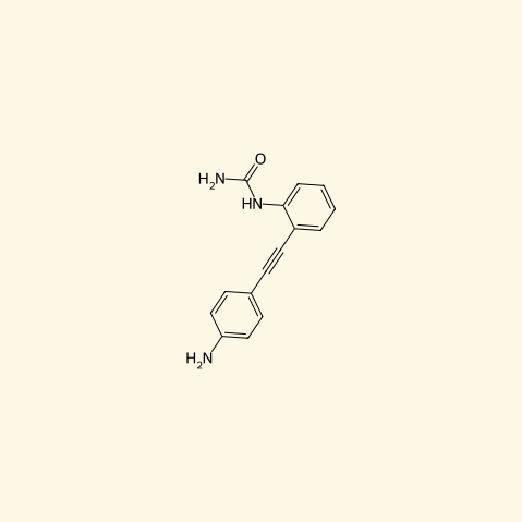 NC(=O)Nc1ccccc1C#Cc1ccc(N)cc1